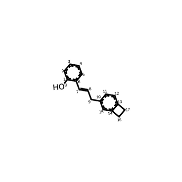 Oc1ccccc1C=CCc1ccc2c(c1)CC2